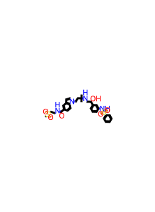 CC(C)(CCn1ccc2cc(C(=O)NCCS(C)(=O)=O)ccc21)NC[C@H](O)c1cccc(NS(=O)(=O)c2ccccc2)c1